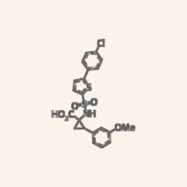 COc1cccc(C2CC2(NS(=O)(=O)c2ccc(-c3ccc(Cl)cc3)s2)C(=O)O)c1